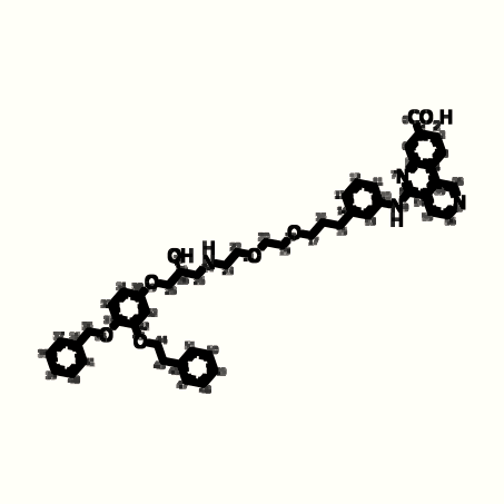 O=C(O)c1ccc2c(c1)nc(Nc1cccc(CCCOCCOCCNC[C@@H](O)COc3ccc(OCc4ccccc4)c(OCCc4ccccc4)c3)c1)c1ccncc12